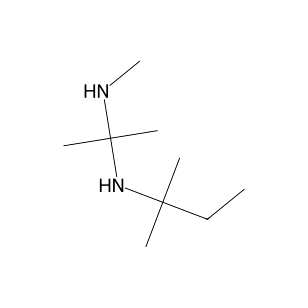 CCC(C)(C)NC(C)(C)NC